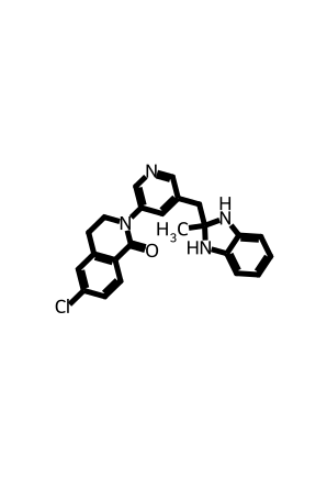 CC1(Cc2cncc(N3CCc4cc(Cl)ccc4C3=O)c2)Nc2ccccc2N1